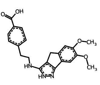 COc1cc2c(cc1OC)-c1n[nH]c(NCCc3ccc(C(=O)O)cc3)c1C2